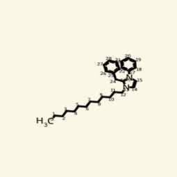 CCCCCCCCCCCCCN1C=CN(c2ccccc2)C1Cc1ccccc1